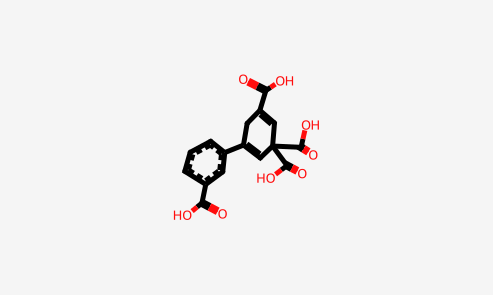 O=C(O)C1=CC(C(=O)O)(C(=O)O)C=C(c2cccc(C(=O)O)c2)C1